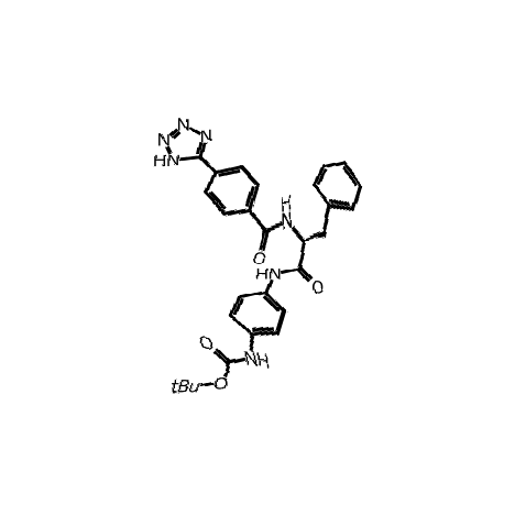 CC(C)(C)OC(=O)Nc1ccc(NC(=O)[C@H](Cc2ccccc2)NC(=O)c2ccc(-c3nnn[nH]3)cc2)cc1